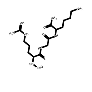 N=C(N)NCCCC(NC=O)C(=O)NCC(=O)NC(CCCCN)C(N)=O